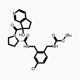 CC(C)(C)OC(=O)NCc1ccc(Cl)cc1CNC(=O)[C@@H]1CCCN1C(=O)C1(O)CCc2ccncc21